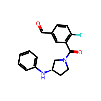 O=Cc1ccc(F)c(C(=O)N2CC[C@@H](Nc3ccccc3)C2)c1